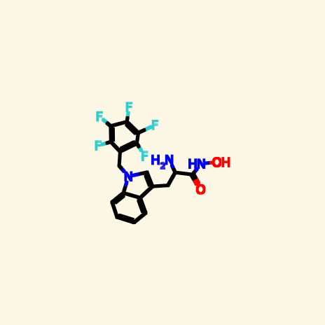 NC(Cc1cn(Cc2c(F)c(F)c(F)c(F)c2F)c2ccccc12)C(=O)NO